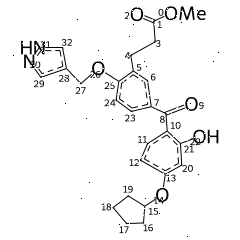 COC(=O)CCc1cc(C(=O)c2ccc(OC3CCCC3)cc2O)ccc1OCc1cn[nH]c1